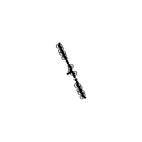 C#CCOC(COC(=O)C=CSCCS/C=C/C(=O)OCOC(=O)CC(=O)OCOC(=O)C#C)COC(=O)/C=C/SCCSC=CC(=O)OCOC(=O)CC(=O)OCOC(=O)C#C